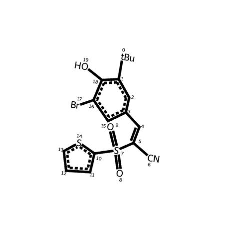 CC(C)(C)c1cc(C=C(C#N)S(=O)(=O)c2cccs2)cc(Br)c1O